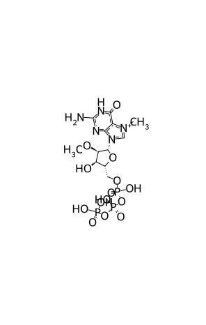 CO[C@@H]1[C@H](O)[C@@H](COP(=O)(O)OP(=O)(O)OP(=O)(O)O)O[C@H]1n1c[n+](C)c2c(=O)[nH]c(N)nc21